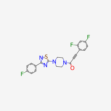 O=C(C#Cc1ccc(F)cc1F)N1CCN(c2nc(-c3ccc(F)cc3)ns2)CC1